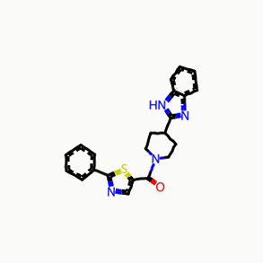 O=C(c1cnc(-c2ccccc2)s1)N1CCC(c2nc3ccccc3[nH]2)CC1